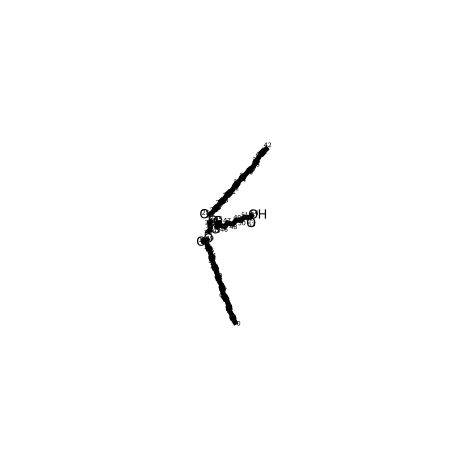 CC#CC#CC#CC#CC#CC#CC#CC#CC(=O)OCC(COC(=O)C#CC#CC#CC#CC#CC#CC#CC#CC)OC(=O)CCCCCCC(=O)O